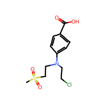 CS(=O)(=O)CCN(CCCl)c1ccc(C(=O)O)cc1